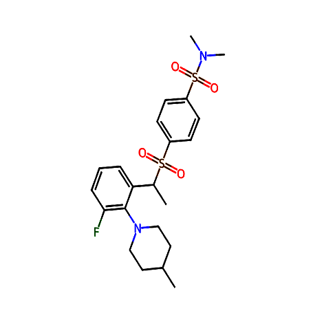 CC1CCN(c2c(F)cccc2C(C)S(=O)(=O)c2ccc(S(=O)(=O)N(C)C)cc2)CC1